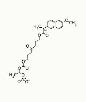 COc1ccc2cc([C@H](C)C(=O)OCCC[S+]([O-])CCCOC(=O)OC(C)O[N+](=O)[O-])ccc2c1